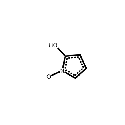 [O]n1cccc1O